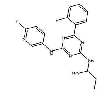 CCC(O)Nc1nc(Nc2ccc(F)nc2)nc(-c2ccccc2F)n1